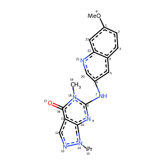 COc1ccc2cc(Nc3nc4c(cnn4C(C)C)c(=O)n3C)cnc2c1